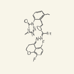 CC/C(=N/N=C1/CCOc2c(F)ccc(F)c21)OCc1c(C)cccc1-n1nnn(C)c1=O